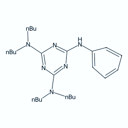 CCCCN(CCCC)c1nc(Nc2ccccc2)nc(N(CCCC)CCCC)n1